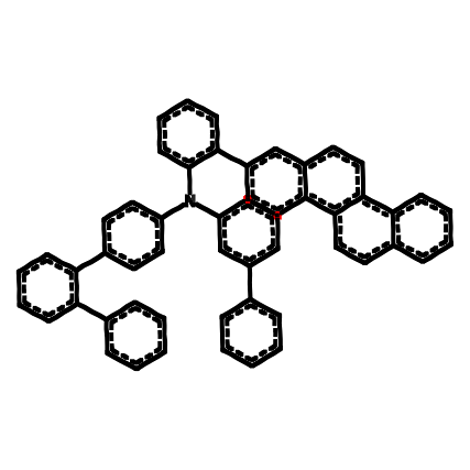 c1ccc(-c2cccc(N(c3ccc(-c4ccccc4-c4ccccc4)cc3)c3ccccc3-c3ccc4c(ccc5c6ccccc6ccc45)c3)c2)cc1